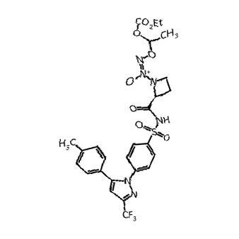 CCOC(=O)OC(C)O/N=[N+](/[O-])N1CC[C@H]1C(=O)NS(=O)(=O)c1ccc(-n2nc(C(F)(F)F)cc2-c2ccc(C)cc2)cc1